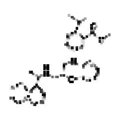 COC(=O)c1cc(N2CC(CN[C@H](C)c3cccc4ccccc34)Oc3ccccc32)ccc1C(C)C